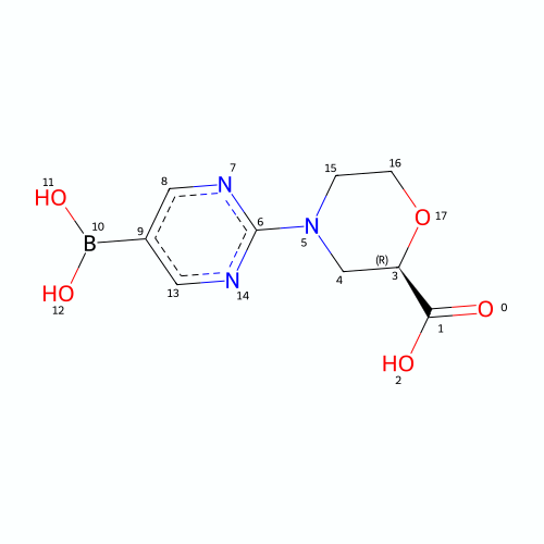 O=C(O)[C@H]1CN(c2ncc(B(O)O)cn2)CCO1